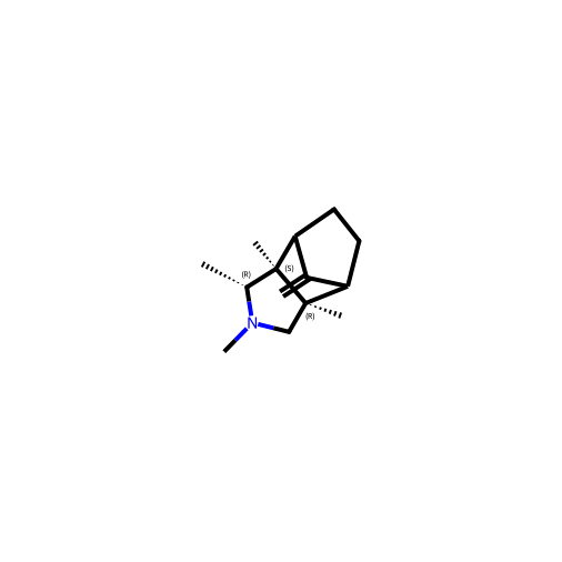 C=C1C2CCC1[C@]1(C)[C@@H](C)N(C)C[C@]21C